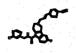 N#Cc1ccc(/C=C/CN2CCc3c(c4cc(F)ccc4n3C(=O)NCc3ccnc(Cl)c3)C2)cc1